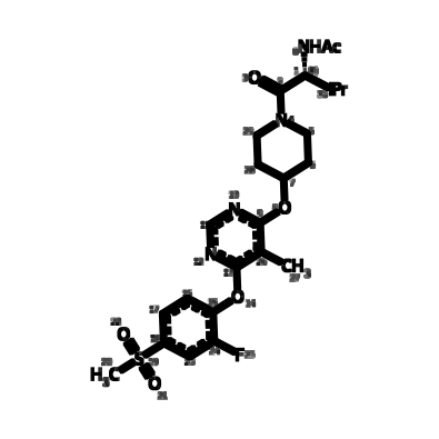 CC(=O)N[C@@H](C(=O)N1CCC(Oc2ncnc(Oc3ccc(S(C)(=O)=O)cc3F)c2C)CC1)C(C)C